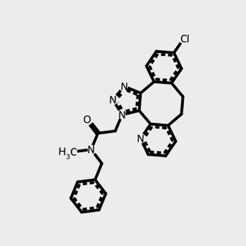 CN(Cc1ccccc1)C(=O)Cn1nnc2c1-c1ncccc1CCc1cc(Cl)ccc1-2